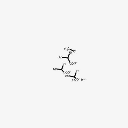 CCC(C(C)=O)C(=O)[O-].CCC(C(C)=O)C(=O)[O-].CCC(C(C)=O)C(=O)[O-].C[O-].[Zr+4]